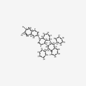 Cc1nc2ccc(-c3ccc4c5c(cccc35)-c3c-4c(-c4ccccc4)c4ccccc4c3-c3ccccc3)cc2nc1C